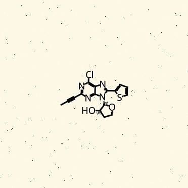 CC#Cc1nc(Cl)c2nc(-c3cccs3)n([C@@H]3OCC[C@H]3O)c2n1